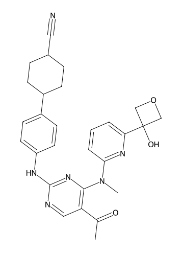 CC(=O)c1cnc(Nc2ccc(C3CCC(C#N)CC3)cc2)nc1N(C)c1cccc(C2(O)COC2)n1